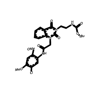 COc1cc(OC)c(NC(=O)Cn2c(=O)n(CCNC(=O)OC(C)(C)C)c(=O)c3ccccc32)cc1Cl